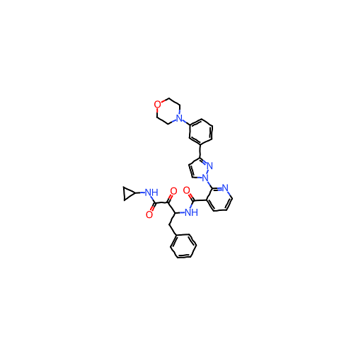 O=C(NC1CC1)C(=O)C(Cc1ccccc1)NC(=O)c1cccnc1-n1ccc(-c2cccc(N3CCOCC3)c2)n1